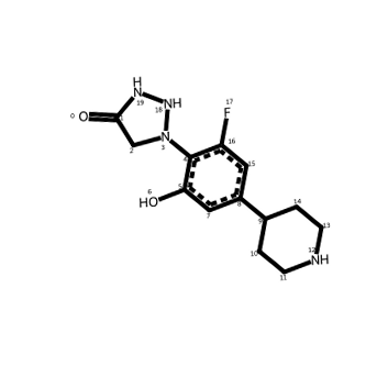 O=C1CN(c2c(O)cc(C3CCNCC3)cc2F)NN1